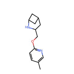 Cc1ccc(OCC2CC3CC(C3)N2)nc1